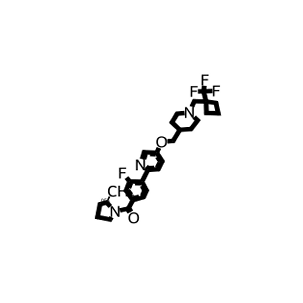 C[C@H]1CCCN1C(=O)c1ccc(-c2ccc(OCC3CCN(CC4(C(F)(F)F)CCC4)CC3)cn2)c(F)c1